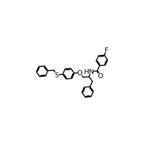 O=C(NC(COc1ccc(SCc2ccccc2)cc1)Cc1ccccc1)c1ccc(F)cc1